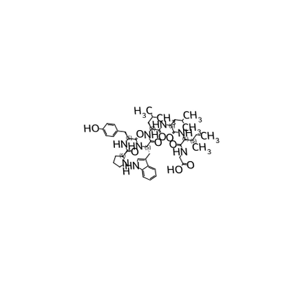 CC[C@H](C)[C@H](NC(=O)[C@H](CC(C)C)NC(=O)[C@H](CC(C)C)NC(=O)[C@H](Cc1c[nH]c2ccccc12)NC(=O)[C@H](Cc1ccc(O)cc1)NC(=O)[C@@H]1CCCN1)C(=O)NCC(=O)O